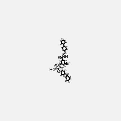 O=C(O)C(=O)NC(Cc1c(Br)cc(C(=O)NCCc2ccc(-c3ccccc3)cc2)cc1Br)c1cccc(Oc2ccccc2)c1